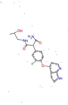 CC(O)CNC(=O)C(C(N)=O)c1ccc(Oc2ccnc3[nH]ccc23)c(F)c1